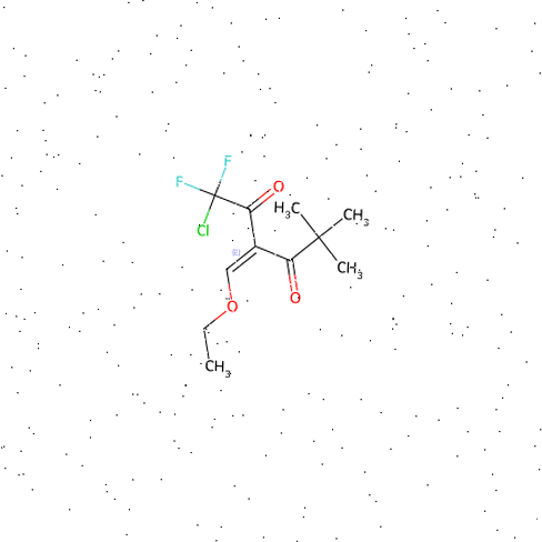 CCO/C=C(\C(=O)C(C)(C)C)C(=O)C(F)(F)Cl